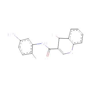 CC(C)(C)c1ccc(N)cc1NC(=O)C1=CNc2ccccc2C1O